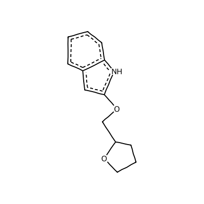 c1ccc2[nH]c(OCC3CCCO3)cc2c1